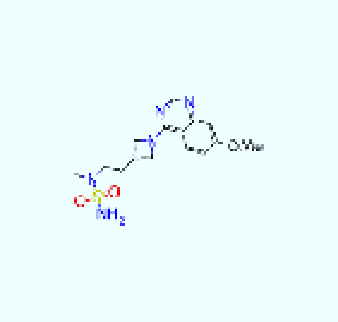 COc1ccc2c(N3CC(CCN(C)S(N)(=O)=O)C3)ncnc2c1